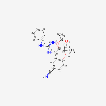 CC(=O)O[C@@H]1[C@@H](NC(=N)Nc2ccccc2)c2cc(C#N)ccc2OC1(C)C